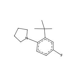 CC(C)(C)c1cc(F)ccc1N1CCCC1